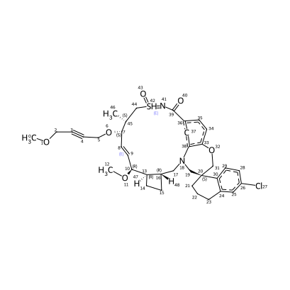 COCC#CCO[C@H]1/C=C/[C@H](OC)[C@@H]2CC[C@H]2CN2C[C@@]3(CCCc4cc(Cl)ccc43)COc3ccc(cc32)C(=O)/N=[SH](=O)\C[C@H]1C